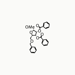 CO[C@H]1O[C@H](COCc2ccccc2)[C@@H](OC(=O)c2ccccc2)[C@H]1OC(=O)c1ccccc1